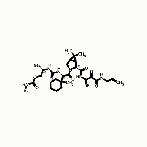 C=CCNC(=O)C(=O)C(CCC)NC(=O)[C@@H]1C2C(CN1C(=O)[C@@H](NC(=O)N[C@H](COC(=O)NCC)C(C)(C)C)C1(C)CCCCC1)C2(C)C